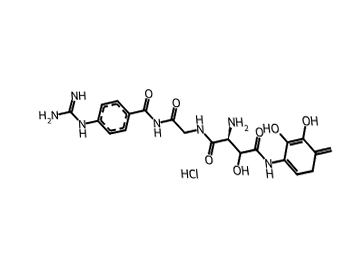 C=C1CC=C(NC(=O)C(O)[C@H](N)C(=O)NCC(=O)NC(=O)c2ccc(NC(=N)N)cc2)C(O)=C1O.Cl